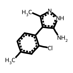 Cc1ccc(-c2c(C)n[nH]c2N)c(Cl)c1